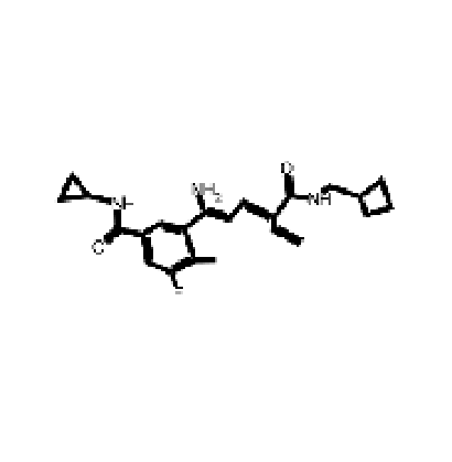 C=C/C(=C\C=C(/N)c1cc(C(=O)NC2CC2)cc(F)c1C)C(=O)NCC1CCC1